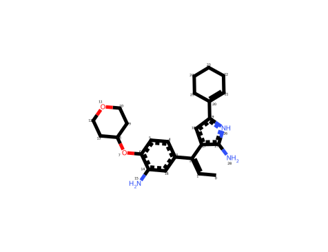 C/C=C(/c1ccc(OC2CCOCC2)c(N)c1)c1cc(C2=CCCCC2)[nH]c1N